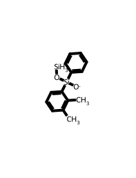 Cc1cccc([Si]([O])(O[SiH3])c2ccccc2)c1C